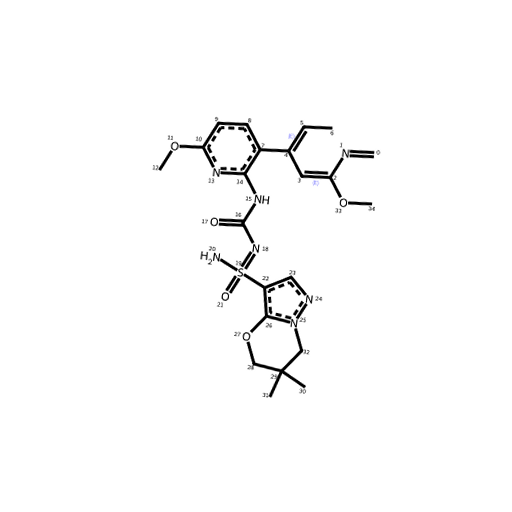 C=N/C(=C\C(=C/C)c1ccc(OC)nc1NC(=O)N=S(N)(=O)c1cnn2c1OCC(C)(C)C2)OC